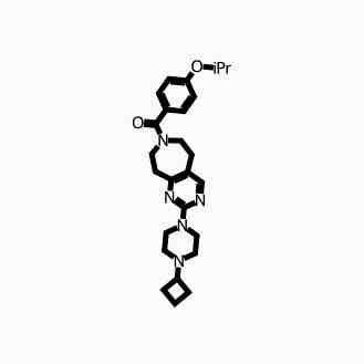 CC(C)Oc1ccc(C(=O)N2CCc3cnc(N4CCN(C5CCC5)CC4)nc3CC2)cc1